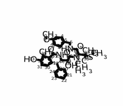 COc1ccc(CNC(=O)[C@@H](N(C)C(=O)[C@@H](O)[C@H](Cc2ccccc2)NC(=O)c2cccc(O)c2C)C(C)(C)SC)cc1